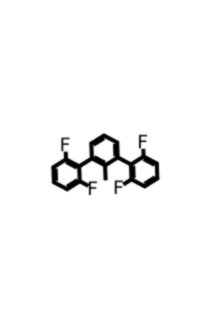 Cc1c(-c2c(F)cccc2F)cccc1-c1c(F)cccc1F